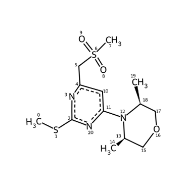 CSc1nc(CS(C)(=O)=O)cc(N2[C@H](C)COC[C@@H]2C)n1